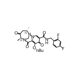 CCCCOc1c2n(cc(C(=O)NCc3ccc(F)cc3F)c1=O)N1CN(C2=O)[C@@H](C)C(=O)C[C@@H]1C